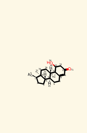 CC(=O)[C@@H]1CC[C@H]2[C@@H]3CCC4=CC(=O)CC(O)[C@]4(C)[C@H]3CC[C@]12C